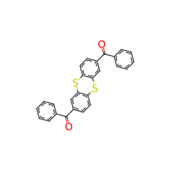 O=C(c1ccccc1)c1ccc2c(c1)Sc1ccc(C(=O)c3ccccc3)cc1S2